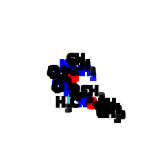 Cc1nn(COCC[Si](C)(C)C)c(C)c1-c1ccc(NC(=O)C(c2cnn(C(C)C)c2C(N)=O)C(C2CCCCC2)C2CCCCC2)nc1F